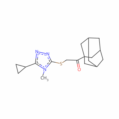 Cn1c(SCC(=O)C23CC4CC(CC(C4)C2)C3)nnc1C1CC1